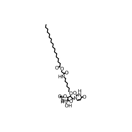 CCCCCCCCCCCCCCCCCC(=O)OCC(=O)NCCCCCCOC1C(O[PH](=O)O)[C@@H](CO)O[C@H]1n1ccc(=O)[nH]c1=O